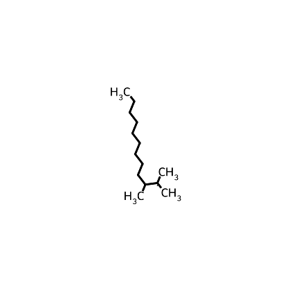 CCCCCCCCCC(C)[C](C)C